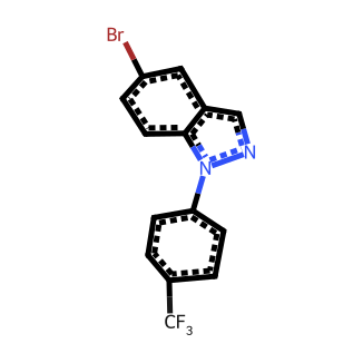 FC(F)(F)c1ccc(-n2ncc3cc(Br)ccc32)cc1